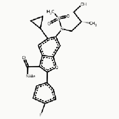 CNC(=O)c1c(-c2ccc(F)cc2)oc2cc(N(C[C@@H](C)CO)S(C)(=O)=O)c(C3CC3)cc12